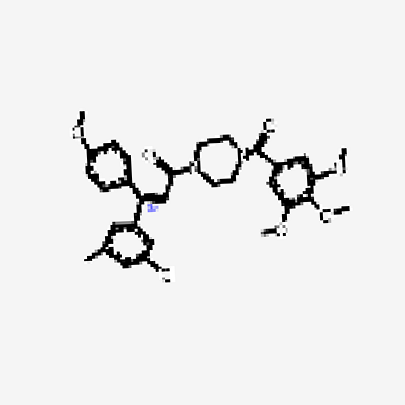 COc1ccc(/C(=C\C(=O)N2CCN(C(=O)c3cc(OC)c(OC)c(OC)c3)CC2)c2cc(C)cc(Cl)c2)cc1